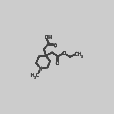 CCOC(=O)CC1(CC(=O)O)CCN(C)CC1